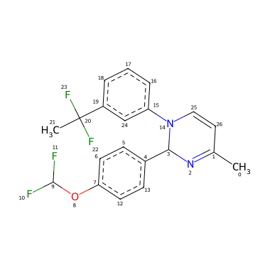 CC1=NC(c2ccc(OC(F)F)cc2)N(c2cccc(C(C)(F)F)c2)C=C1